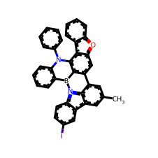 Cc1cc2c3c(c1)c1cc(I)ccc1n3B1c3ccccc3N(c3ccccc3)c3c1c-2cc1oc2ccccc2c31